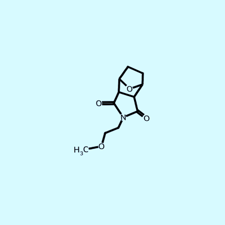 COCCN1C(=O)C2C3CCC(O3)C2C1=O